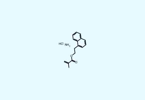 C=C(C)C(=O)OCCc1cccc2ccccc12.Cl.N